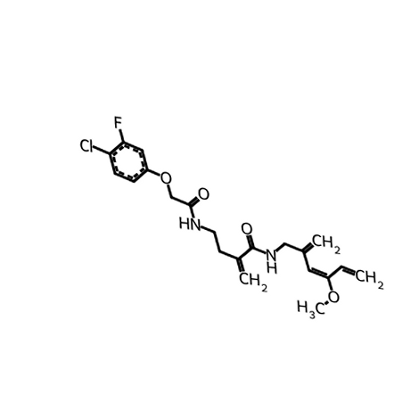 C=C/C(=C\C(=C)CNC(=O)C(=C)CCNC(=O)COc1ccc(Cl)c(F)c1)OC